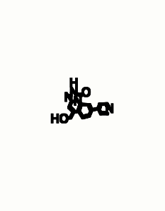 O=c1[nH]nc2cc(CO)c3ccc(-c4ccncc4)cc3n12